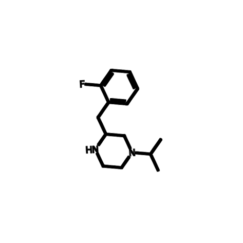 CC(C)N1CCNC(Cc2ccccc2F)C1